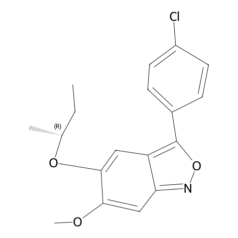 CC[C@@H](C)Oc1cc2c(-c3ccc(Cl)cc3)onc2cc1OC